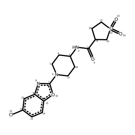 O=C(NC1CCN(c2nc3cc(Cl)ccc3o2)CC1)C1CCS(=O)(=O)C1